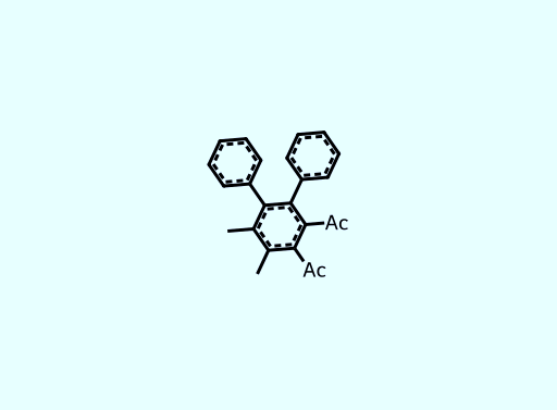 CC(=O)c1c(C)c(C)c(-c2ccccc2)c(-c2ccccc2)c1C(C)=O